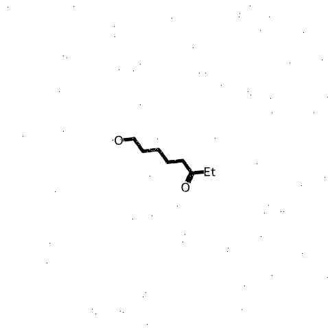 CCC(=O)CCCCC[O]